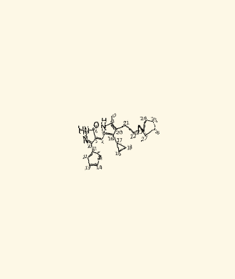 Cc1[nH]c(C=C2C(=O)NN=C2c2cccs2)c(C2CC2)c1CCN1CCCC1